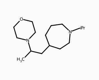 CC(C)N1CCCC(CC(C)N2CCOCC2)CC1